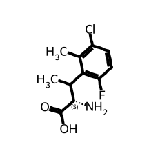 Cc1c(Cl)ccc(F)c1C(C)[C@H](N)C(=O)O